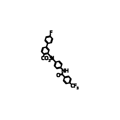 O=C(Nc1ccc(C#Cc2cc(-c3ccc(F)cc3)ccc2C(=O)O)cc1)c1ccc(C(F)(F)F)cc1